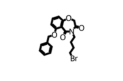 O=C1COc2cccc(OCc3ccccc3)c2C(=O)N1CCCCBr